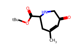 CC1=CC(=O)CNC(C(=O)OC(C)(C)C)C1